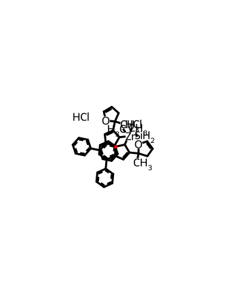 CC1(C2=Cc3c(-c4ccccc4)cccc3[CH]2[Zr]([CH3])([CH3])(=[SiH2])[CH]2C(C3(C)CC=CO3)=Cc3c(-c4ccccc4)cccc32)CC=CO1.Cl.Cl